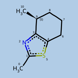 Cc1nc2c(s1)CCC[C@@H]2C